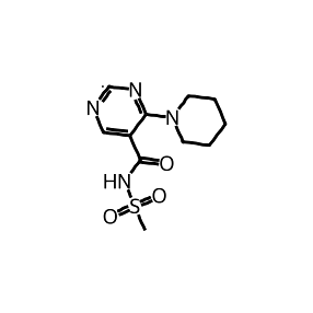 CS(=O)(=O)NC(=O)c1cn[c]nc1N1CCCCC1